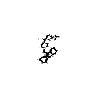 C[Si](C)(C)c1ncc([C@H](O)C2CCN(CC34CC(c5ccccc53)c3ccccc34)CC2)s1